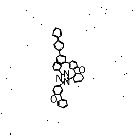 C1=CC(c2nc(-c3ccccc3)nc(-c3ccc4oc5ccccc5c4c3)n2)=C2c3cc(-c4cccc(-c5ccc(-c6ccccc6)cc5)c4)ccc3OC2C1